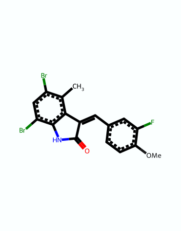 COc1ccc(C=C2C(=O)Nc3c(Br)cc(Br)c(C)c32)cc1F